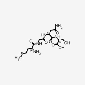 CSCC[C@H](N)C(=O)NCC(=O)N[C@@H](CC(N)=O)C(=O)N[C@@H](CO)C(=O)O